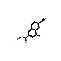 COC(=O)c1cc(I)c2cc(C#N)ccc2c1